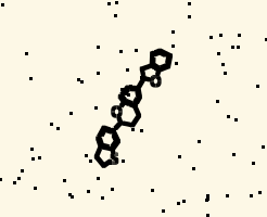 c1ccc2c(c1)CC(c1ccc3c(c1)CCC(c1ccc4c(c1)SCC4)O3)O2